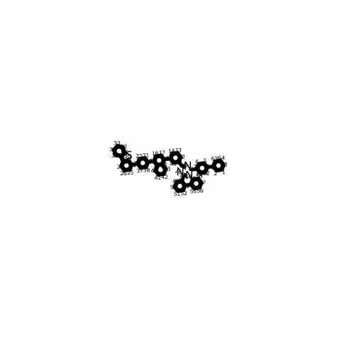 c1ccc(-c2ccc(-c3nc(-c4cccc(-c5ccc(-c6ccc(-c7cccc8c7sc7ccccc78)cc6)c6ccccc56)c4)nc(-c4ccccc4-c4ccccc4)n3)cc2)cc1